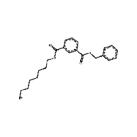 CC(C)CCCCCCCOC(=O)c1cccc(C(=O)OCc2ccccc2)c1